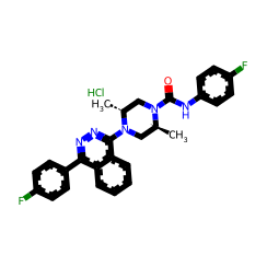 C[C@@H]1CN(C(=O)Nc2ccc(F)cc2)[C@@H](C)CN1c1nnc(-c2ccc(F)cc2)c2ccccc12.Cl